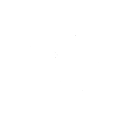 O=C(c1ccccc1)c1ccccc1[N+]c1ccccc1